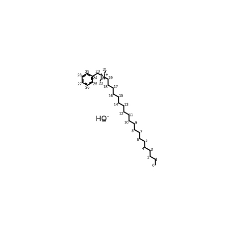 CCCCCCCCCCCCCCCCCCCC[N+](C)(C)Cc1ccccc1.[OH-]